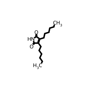 CCCCCCC1=C(CCCCCC)C(=O)NC1=O